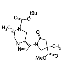 COC(=O)C1(C)CC(=O)N(c2cnn3c2CN(C(=O)OC(C)(C)C)[C@@H](C)C3)C1